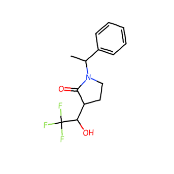 CC(c1ccccc1)N1CCC(C(O)C(F)(F)F)C1=O